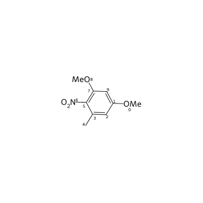 COc1cc(C)c([N+](=O)[O-])c(OC)c1